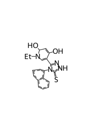 CCN1C=C(c2n[nH]c(=S)n2-c2cccc3ccccc23)C(O)=CC1O